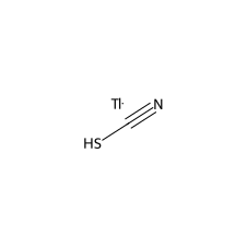 N#CS.[Tl]